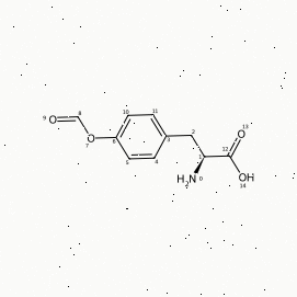 N[C@@H](Cc1ccc(OC=O)cc1)C(=O)O